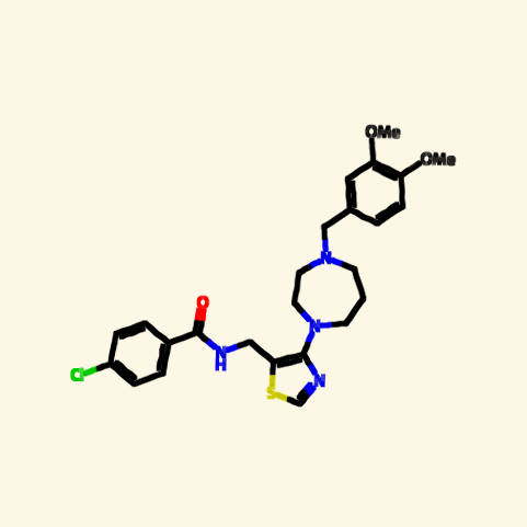 COc1ccc(CN2CCCN(c3ncsc3CNC(=O)c3ccc(Cl)cc3)CC2)cc1OC